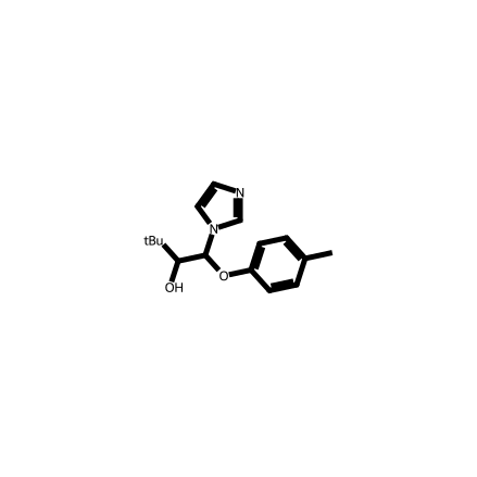 Cc1ccc(OC(C(O)C(C)(C)C)n2ccnc2)cc1